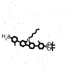 Bc1ccc(-c2ccc3c4ccc(-c5ccc(B6OC(C)(C)C(C)(C)O6)cc5C)cc4n(CCCCCC)c3c2)c(C)c1